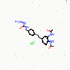 CC(=O)Nc1ccc(CCc2ccc(CNC(=O)NN)cc2)cc1NC(C)=O.Cl